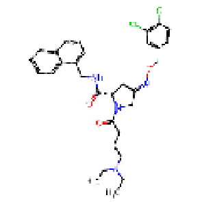 CCN(CC)CCCC(=O)N1C/C(=N/OCc2ccc(Cl)c(Cl)c2)C[C@H]1C(=O)NCc1cccc2ccccc12